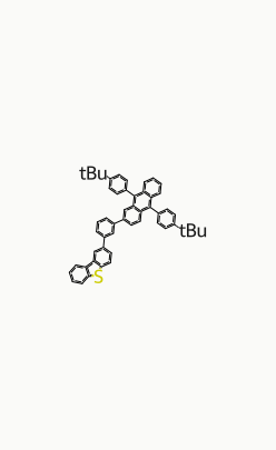 CC(C)(C)c1ccc(-c2c3ccccc3c(-c3ccc(C(C)(C)C)cc3)c3cc(-c4cccc(-c5ccc6sc7ccccc7c6c5)c4)ccc23)cc1